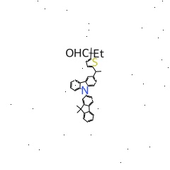 CCC(C)(C=O)c1ccc(C(C)c2ccc3c(c2)c2ccccc2n3-c2ccc3c(c2)C(C)(C)c2ccccc2-3)s1